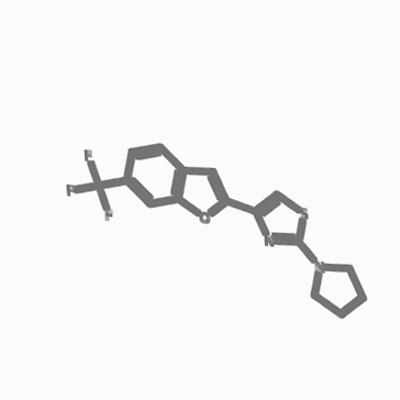 FC(F)(F)c1ccc2cc(-c3csc(N4CCCC4)n3)oc2c1